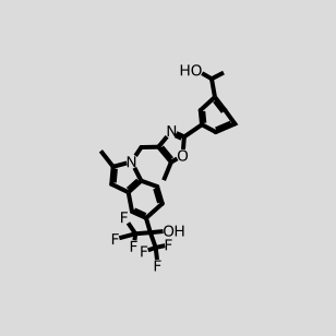 Cc1oc(-c2cccc(C(C)O)c2)nc1Cn1c(C)cc2cc(C(O)(C(F)(F)F)C(F)(F)F)ccc21